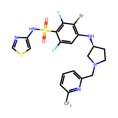 O=S(=O)(Nc1cscn1)c1c(F)cc(N[C@H]2CCN(Cc3cccc(C(F)(F)F)n3)C2)c(Br)c1F